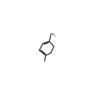 CC1=CC=C(N)CC1